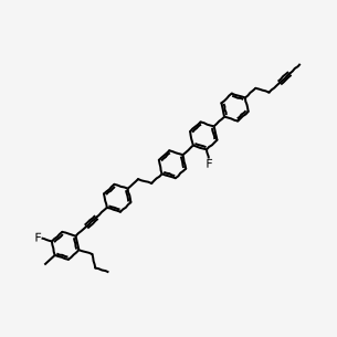 CC#CCCc1ccc(-c2ccc(-c3ccc(CCc4ccc(C#Cc5cc(F)c(C)cc5CCC)cc4)cc3)c(F)c2)cc1